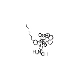 CCCCCCCCc1ccc(CCC(N)(CO)COP(=O)(N[C@](C)(Cc2ccccc2)C(=O)O)Oc2cccc3ccccc23)cc1